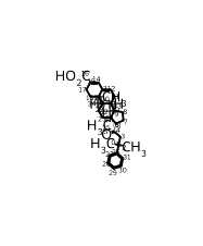 CC(C)(CC(=O)[C@H]1CC[C@H]2[C@@H]3CC=C4C=C(C(=O)O)CC[C@]4(C)[C@H]3CC[C@]12C)c1ccccc1